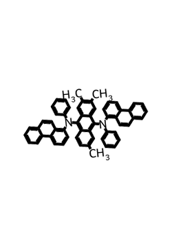 Cc1ccc2c(N(c3ccccc3)c3cccc4c3ccc3ccccc34)c3cc(C)c(C)cc3c(N(c3ccccc3)c3cccc4c3ccc3ccccc34)c2c1